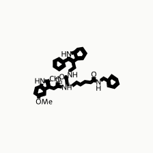 COc1ccc2[nH]c(C)c(CC(=O)N[C@@H](CCCCCC(=O)NCc3ccccc3)C(=O)NCCc3c(-c4ccccc4)[nH]c4ccccc34)c2c1